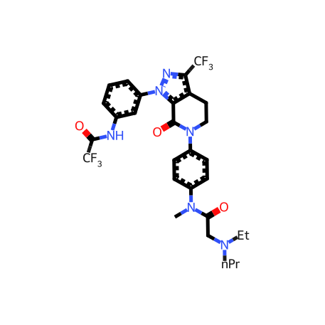 CCCN(CC)CC(=O)N(C)c1ccc(N2CCc3c(C(F)(F)F)nn(-c4cccc(NC(=O)C(F)(F)F)c4)c3C2=O)cc1